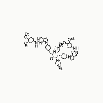 CCOc1ccc(Nc2ncc3ccn(-c4ccc(CC(C(=O)C(Cc5ccc(-n6ccc7cnc(Nc8ccc(OCC)c(OCC)c8)nc76)cc5)N5CCN(CC)CC5)N5CCN(CC)CC5)cc4)c3n2)cc1OCC